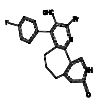 CC(C)c1nc2c(c(-c3ccc(F)cc3)c1C=O)CCCc1cc(=O)[nH]cc1-2